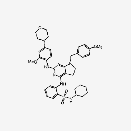 COc1ccc(CN2CCc3c(Nc4ccccc4S(=O)(=O)NC4CCCCC4)nc(Nc4ccc(N5CCOCC5)cc4OC)nc32)cc1